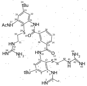 CC(=N)Nc1cc(C(C)(C)C)cc(NC(=O)c2cccc(C(=O)Nc3cc(C(C)(C)C)cc(NC(C)=O)c3SCCNC(=N)N)c2)c1SCCNC(=N)N